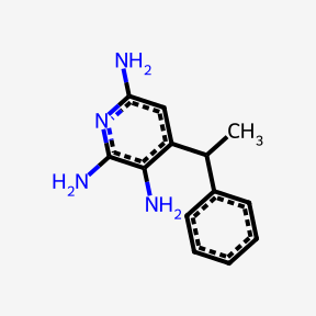 CC(c1ccccc1)c1cc(N)nc(N)c1N